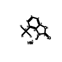 Br.Cn1c(=O)oc2cccc(C(C)(C)C)c21